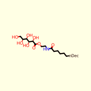 CCCCCCCCCCCCCCCC(=O)NCCOC(=O)[C@H](O)[C@@H](O)[C@H](O)[C@@H](O)CO